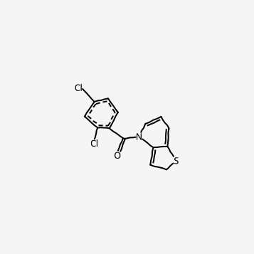 O=C(c1ccc(Cl)cc1Cl)N1C=CC=C2SCC=C21